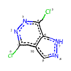 Clc1nnc(Cl)c2[nH]ncc12